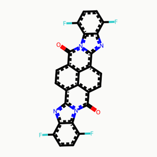 O=c1c2ccc3c4c(ccc(c24)c2nc4c(F)ccc(F)c4n12)c(=O)n1c3nc2c(F)ccc(F)c21